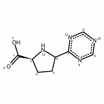 O=C(O)[C@@H]1CCC(c2ncncn2)N1